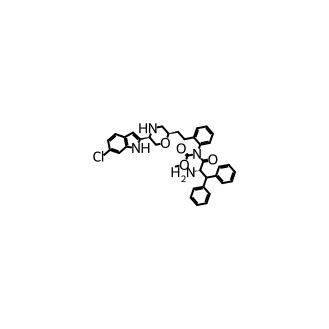 COC(=O)N(C(=O)[C@@H](N)C(c1ccccc1)c1ccccc1)c1ccccc1CC[C@@H]1CN[C@H](c2cc3ccc(Cl)cc3[nH]2)CO1